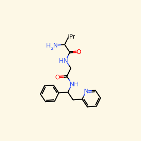 CC(C)C(N)C(=O)NCC(=O)NC(Cc1ccccn1)c1ccccc1